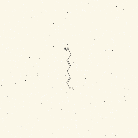 CC=CCC=CCN